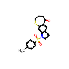 Cc1ccc(S(=O)(=O)n2ccc3cc4c(cc32)SCCCC4=O)cc1